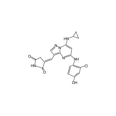 O=C1C/C(=C\c2cnn3c(NC4CC4)cc(Nc4ccc(O)cc4Cl)nc23)C(=O)N1